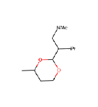 CNCC(C(C)C)C1OCCC(C)O1